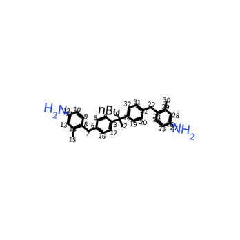 CCCCC(C)(c1ccc(Cc2ccc(N)cc2C)cc1)c1ccc(Cc2ccc(N)cc2C)cc1